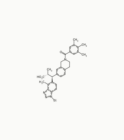 CCn1nnc2c(C)c([C@H](c3ccc4c(c3)CN(C(=O)c3cc(C)c(C)c(C)c3)CC4)[C@@H](C)C(=O)O)ccc21